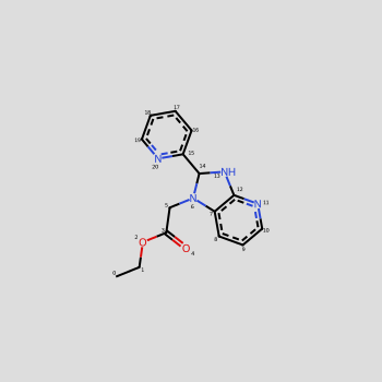 CCOC(=O)CN1c2cccnc2NC1c1ccccn1